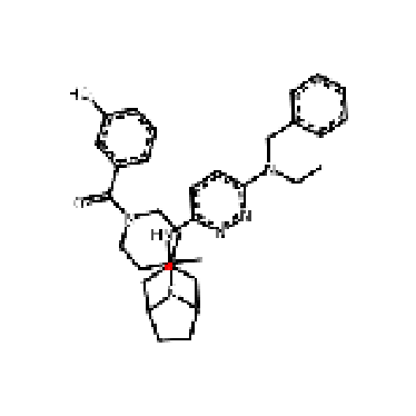 CCN(Cc1ccccc1)c1ccc(NC2CC3CCC(C2)N3C2(C)CCN(C(=O)c3cccc(O)c3)CC2)nn1